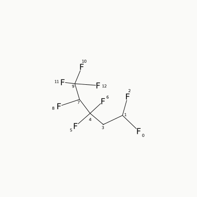 FC(F)CC(F)(F)C(F)C(F)(F)F